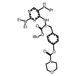 CCN(CC)c1ncc(NC(C)C)c(N[C@@H](Cc2ccc(OC(=O)N3CCOCC3)cc2)C(=O)OC(C)(C)C)n1